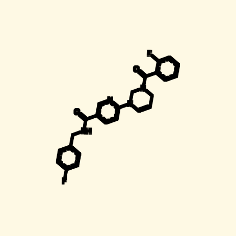 O=C(NCc1ccc(F)cc1)c1ccc(N2C=CCN(C(=O)c3ccccc3F)C2)nc1